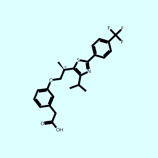 CC(C)c1nc(-c2ccc(C(F)(F)F)cc2)sc1[C@H](C)COc1cccc(CC(=O)O)c1